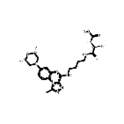 Cc1nnc2c(NCCCCNC(=O)[C@@H](NC(=O)OCC(C)C)C(C)C)nc3cc(N4C[C@@H](C)O[C@@H](C)C4)ccc3n12